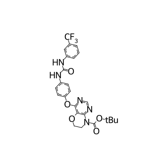 CC(C)(C)OC(=O)N1CCOc2c(Oc3ccc(NC(=O)Nc4cccc(C(F)(F)F)c4)cc3)ncnc21